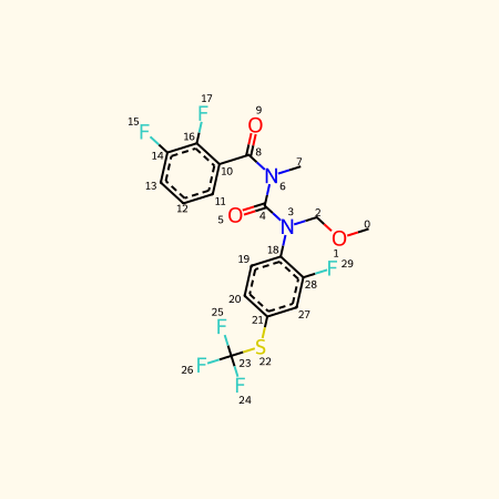 COCN(C(=O)N(C)C(=O)c1cccc(F)c1F)c1ccc(SC(F)(F)F)cc1F